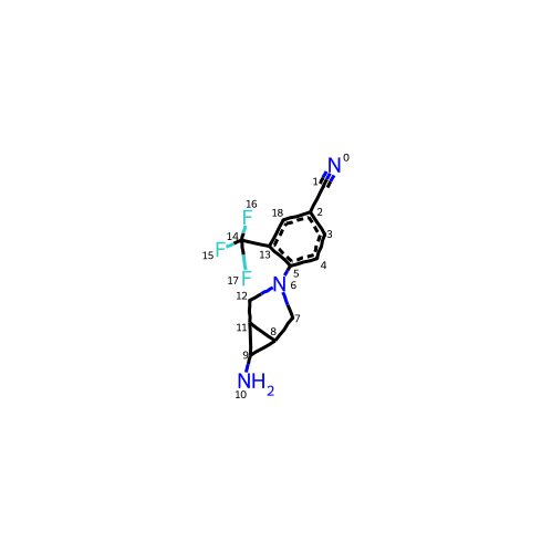 N#Cc1ccc(N2CC3C(N)C3C2)c(C(F)(F)F)c1